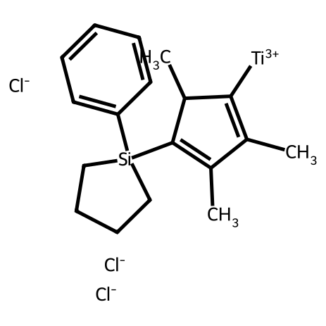 CC1=[C]([Ti+3])C(C)C([Si]2(c3ccccc3)CCCC2)=C1C.[Cl-].[Cl-].[Cl-]